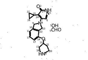 O=CO.O=c1[nH]ncc(N2Cc3cccc(OC4CCNCC4)c3C2)c1C1CC1